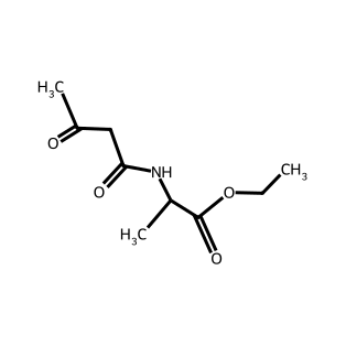 CCOC(=O)C(C)NC(=O)CC(C)=O